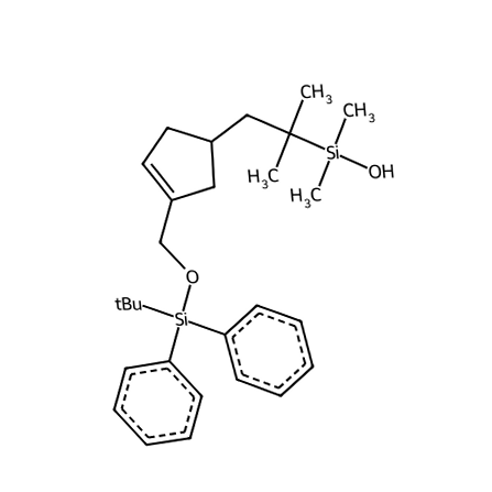 CC(C)(CC1CC=C(CO[Si](c2ccccc2)(c2ccccc2)C(C)(C)C)C1)[Si](C)(C)O